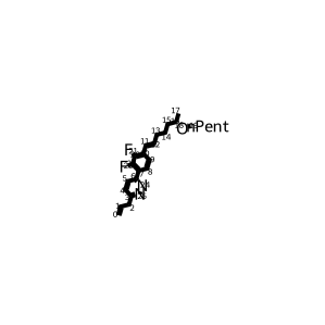 C=CCc1ccc(-c2ccc(C=CCCCC(C)OCCCCC)c(F)c2F)nn1